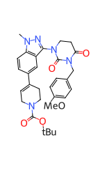 COc1ccc(CN2C(=O)CCN(c3nn(C)c4ccc(C5=CCN(C(=O)OC(C)(C)C)CC5)cc34)C2=O)cc1